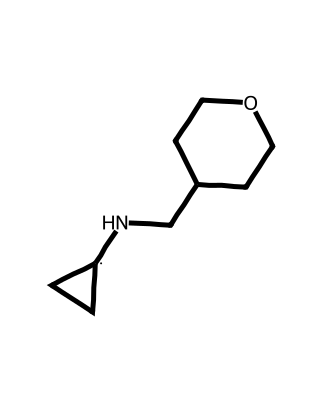 C1CC(CN[C]2CC2)CCO1